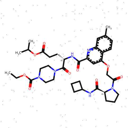 CCOC(=O)N1CCN(C(=O)[C@H](CCC(=O)OC(C)C)NC(=O)c2cc(OCC(=O)N3CCC[C@H]3C(=O)NC3CCC3)c3ccc(C)cc3n2)CC1